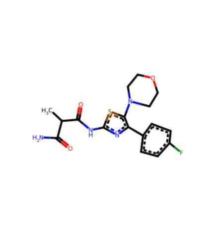 C[C](C(N)=O)C(=O)Nc1nc(-c2ccc(F)cc2)c(N2CCOCC2)s1